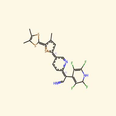 CC1=C(C)SC(=c2s/c(=c3\cc/c(=C(\C=N)C4=C(F)C(F)NC(F)=C4F)nc3)cc2C)S1